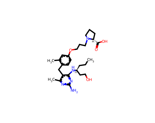 CCC[C@@H](CCO)Nc1nc(N)nc(C)c1Cc1ccc(OCCCN2CCC[C@@H]2C(=O)O)cc1C